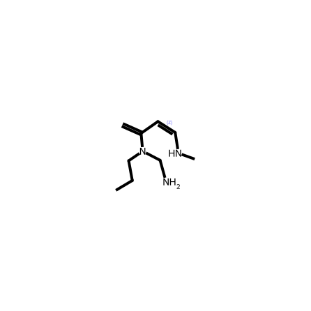 C=C(/C=C\NC)N(CN)CCC